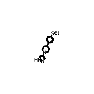 CCSc1ccc(C2CCN(c3cn[nH]c3)CC2)cc1